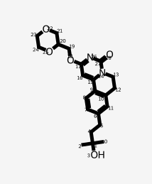 CC(C)(O)CCc1ccc2c(c1)CCn1c-2cc(OCC2COCCO2)nc1=O